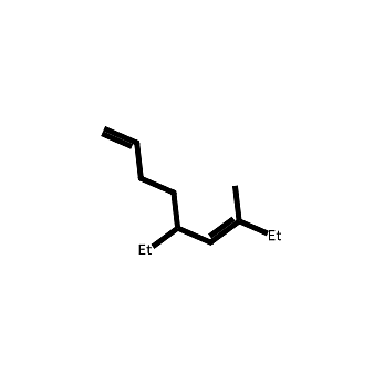 C=CCCC(C=C(C)CC)CC